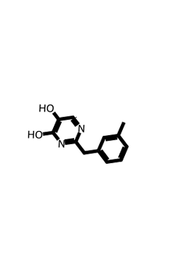 Cc1cccc(Cc2n[c]c(O)c(O)n2)c1